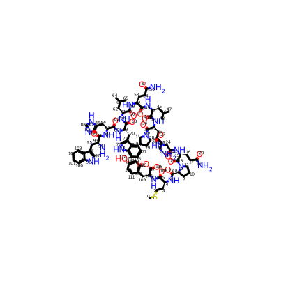 CSCC[C@H](NC(=O)[C@@H]1CCCN1C(=O)[C@H](CCC(N)=O)NC(=O)CNC(=O)[C@@H]1CCCN1C(=O)[C@H](CCCCN)NC(=O)[C@H](CC(C)C)NC(=O)[C@H](CCC(N)=O)NC(=O)[C@H](CC(C)C)NC(=O)[C@H](Cc1c[nH]c2ccccc12)NC(=O)[C@H](Cc1cnc[nH]1)NC(=O)[C@@H](N)Cc1c[nH]c2ccccc12)C(=O)N[C@@H](Cc1ccc(O)cc1)C(=O)O